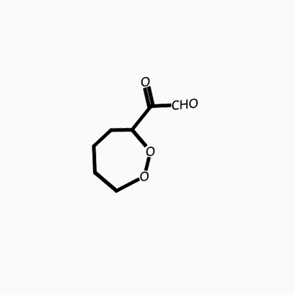 O=CC(=O)C1CCCCOO1